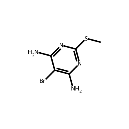 CSc1nc(N)c(Br)c(N)n1